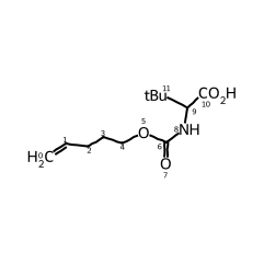 C=CCCCOC(=O)NC(C(=O)O)C(C)(C)C